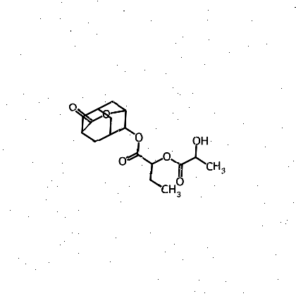 CCC(OC(=O)C(C)O)C(=O)OC1C2CC3CC(C2)C(=O)OC1C3